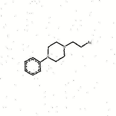 CC(=O)CCN1CCN(c2ccccc2)CC1